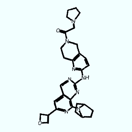 O=C(CN1CCCC1)N1CCc2nc(Nc3ncc4cc(C5COC5)nc(N5C6CCC5CC6)c4n3)ccc2C1